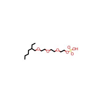 CCCCC(CC)COCCOCCOCCOS(=O)(=O)O